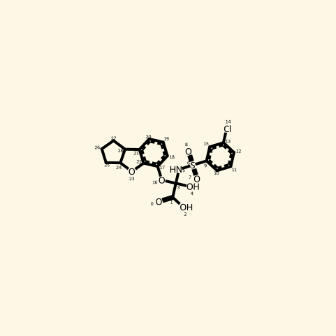 O=C(O)C(O)(NS(=O)(=O)c1cccc(Cl)c1)Oc1cccc2c1OC1CCCC21